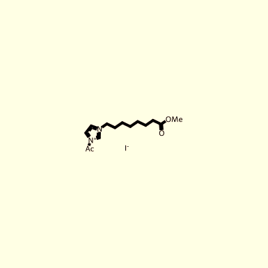 COC(=O)CCCCCCCn1cc[n+](C(C)=O)c1.[I-]